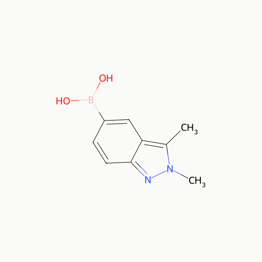 Cc1c2cc(B(O)O)ccc2nn1C